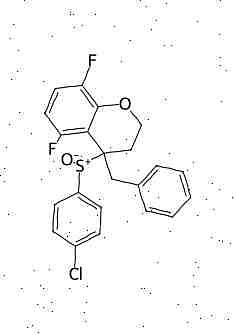 [O-][S+](c1ccc(Cl)cc1)C1(Cc2ccccc2)CCOc2c(F)ccc(F)c21